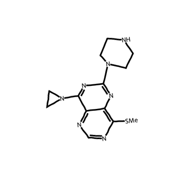 CSc1ncnc2c(N3CC3)nc(N3CCNCC3)nc12